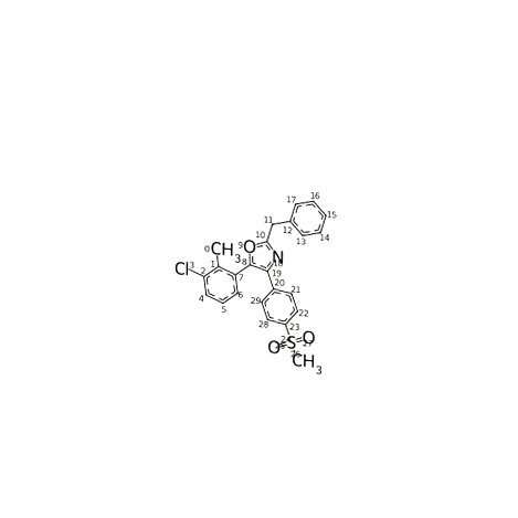 Cc1c(Cl)cccc1-c1oc(Cc2ccccc2)nc1-c1ccc(S(C)(=O)=O)cc1